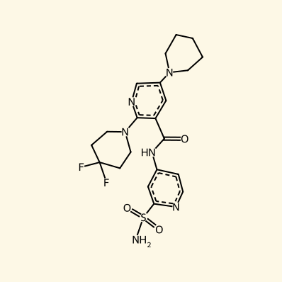 NS(=O)(=O)c1cc(NC(=O)c2cc(N3CCCCC3)cnc2N2CCC(F)(F)CC2)ccn1